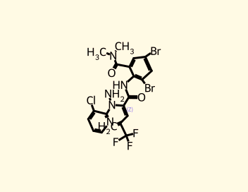 C=C(/C=C(/C(=O)Nc1c(Br)cc(Br)cc1C(=O)N(C)C)N(N)c1ncccc1Cl)C(F)(F)F